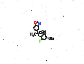 CC(C)(C)c1cc(F)c(CC(C)(C)c2ccc3ocnc3c2)c(C#N)c1